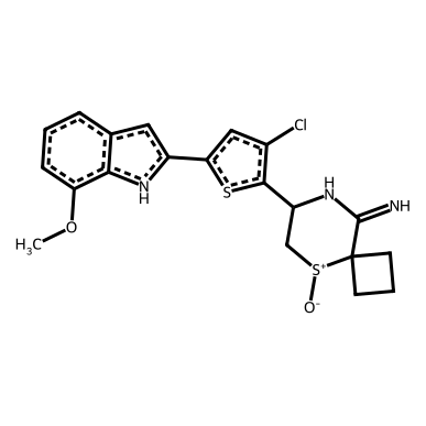 COc1cccc2cc(-c3cc(Cl)c(C4C[S+]([O-])C5(CCC5)C(=N)N4)s3)[nH]c12